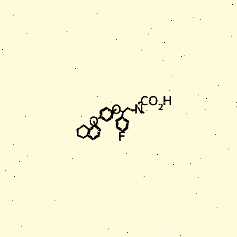 CN(CCC(Oc1ccc(Oc2cccc3c2CCCC3)cc1)c1ccc(F)cc1)CC(=O)O